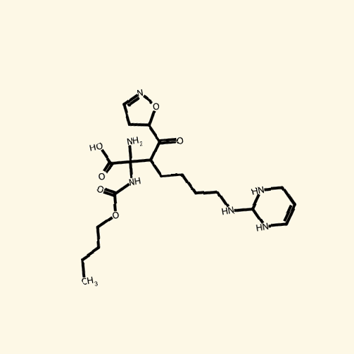 CCCCOC(=O)NC(N)(C(=O)O)C(CCCCNC1NC=CCN1)C(=O)C1CC=NO1